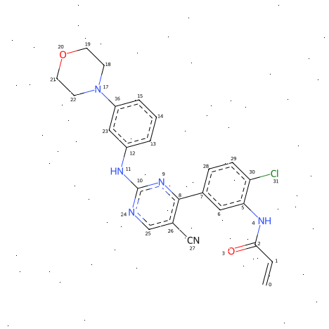 C=CC(=O)Nc1cc(-c2nc(Nc3cccc(N4CCOCC4)c3)ncc2C#N)ccc1Cl